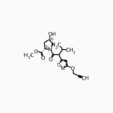 C#CCOc1cc(C(C(=O)N2C[C@H](O)C[C@H]2C(=O)OC)C(C)C)on1